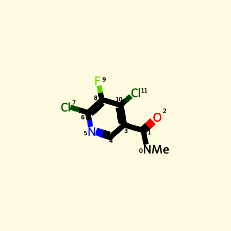 CNC(=O)c1cnc(Cl)c(F)c1Cl